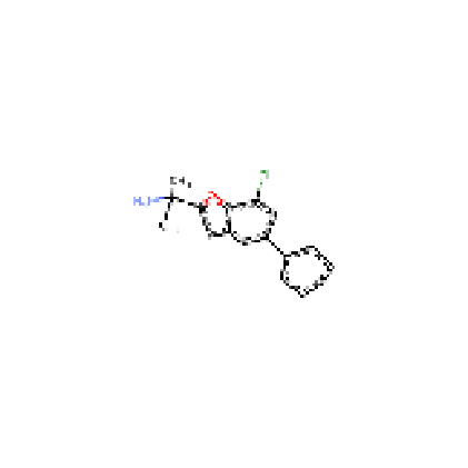 CC(C)(N)c1cc2cc(-c3cc[c]cc3)cc(Cl)c2o1